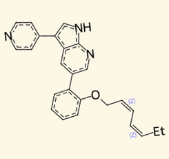 CC/C=C\C=C/COc1ccccc1-c1cnc2[nH]cc(-c3ccncc3)c2c1